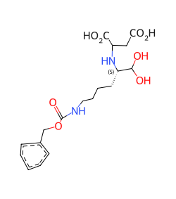 O=C(O)CC(N[C@@H](CCCCNC(=O)OCc1ccccc1)C(O)O)C(=O)O